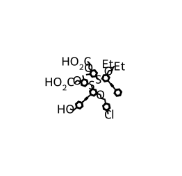 CCC(CC)COc1cc(C#Cc2ccccc2)cc(Sc2ccc(OCC(=O)O)c(C)c2)c1.Cc1cc(Sc2cc(C#Cc3ccc(CO)cc3)cc(OCCc3ccc(Cl)cc3)c2)ccc1OCC(=O)O